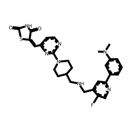 CN(C)c1cccc(-c2cc(CNCC3CCN(c4nccc(/C=C5/SC(=O)NC5=O)n4)CC3)c(F)cn2)c1